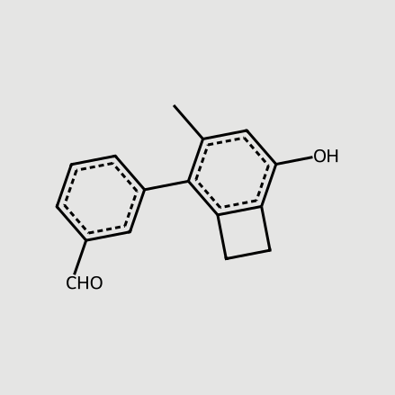 Cc1cc(O)c2c(c1-c1cccc(C=O)c1)CC2